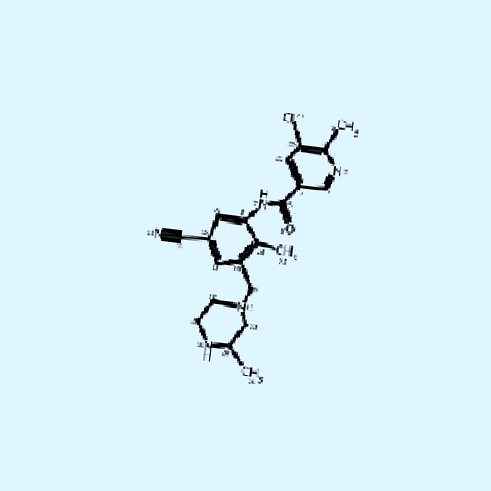 Cc1ncc(C(=O)Nc2cc(C#N)cc(CN3CCNC(C)C3)c2C)cc1Cl